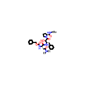 CCN(CC)C(=O)C[C@H](NC(=O)OCc1ccccc1)C(=O)N[C@@H](Cc1ccccc1)[C@H](O)C(=O)N1CCC[C@H]1C(=O)NC(C)(C)C